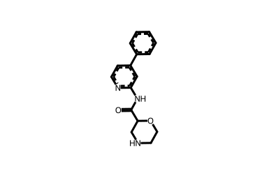 O=C(Nc1cc(-c2ccccc2)ccn1)C1CNCCO1